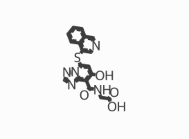 O=C(O)CNC(=O)c1c(O)cc(Sc2cncc3ccccc23)n2ncnc12